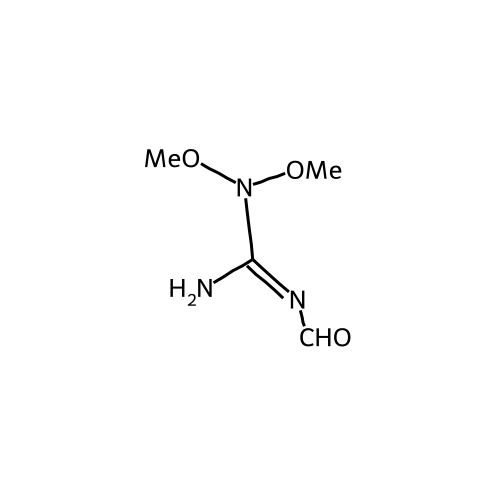 CON(OC)C(N)=NC=O